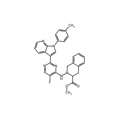 COC(=O)C1Cc2ccccc2CN1Nc1nc(-c2cn(-c3ccc(C)cc3)c3ncccc23)ncc1F